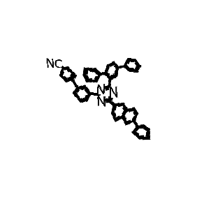 N#Cc1ccc(-c2cccc(-c3nc(-c4ccc5cc(-c6ccccc6)ccc5c4)nc(-c4cc(-c5ccccc5)ccc4-c4ccccc4)n3)c2)cc1